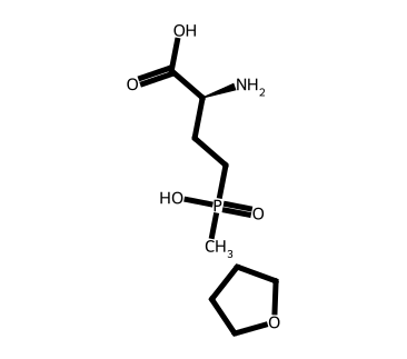 C1CCOC1.CP(=O)(O)CC[C@H](N)C(=O)O